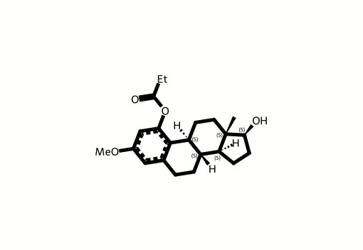 CCC(=O)Oc1cc(OC)cc2c1[C@H]1CC[C@]3(C)[C@@H](O)CC[C@H]3[C@@H]1CC2